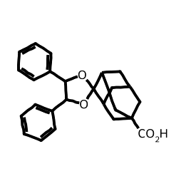 O=C(O)C12CC3CC(C1)C1(OC(c4ccccc4)C(c4ccccc4)O1)C(C3)C2